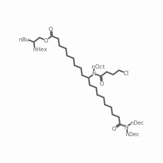 CCCCCCCCCCN(CCCCCCCCCC)C(=O)CCCCCCCCC(CCCCCCCCC(=O)OCC(CCCC)CCCCCC)N(CCCCCCCC)C(=O)CCCCl